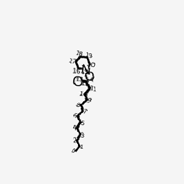 CCCCCCCCCCCCC(=O)ON1CCCCC1